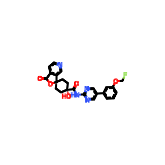 O=C1O[C@]2(CC[C@](O)(C(=O)Nc3ncc(-c4cccc(OCF)c4)cn3)CC2)c2cnccc21